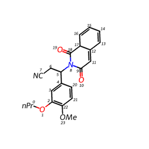 CCCOc1cc(C(CC#N)N2C(=O)C=C3C=CC=CC3C2=O)ccc1OC